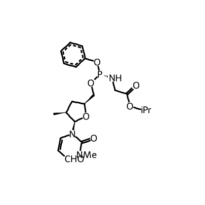 CNC(=O)N(/C=C\C=O)[C@@H]1O[C@H](CO[P@@](NCC(=O)OC(C)C)Oc2ccccc2)C[C@@H]1C